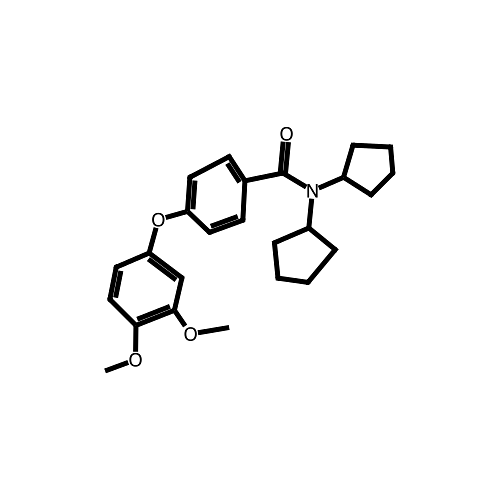 COc1ccc(Oc2ccc(C(=O)N(C3CCCC3)C3CCCC3)cc2)cc1OC